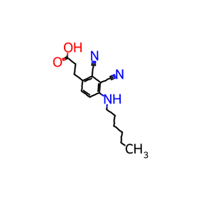 CCCCCCNc1ccc(CCC(=O)O)c(C#N)c1C#N